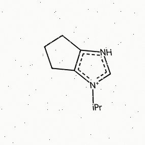 CC(C)[n+]1c[nH]c2c1CCC2